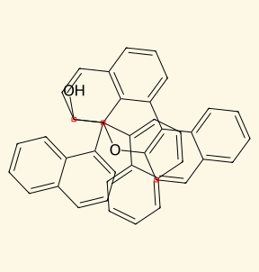 OCCOc1ccc2ccccc2c1-c1cccc2c1C(c1cccc3ccccc13)(c1cccc3ccccc13)CC=C2